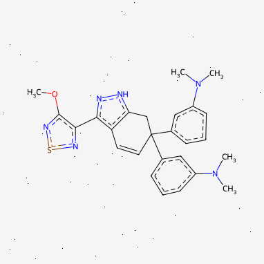 COc1nsnc1-c1n[nH]c2c1C=CC(c1cccc(N(C)C)c1)(c1cccc(N(C)C)c1)C2